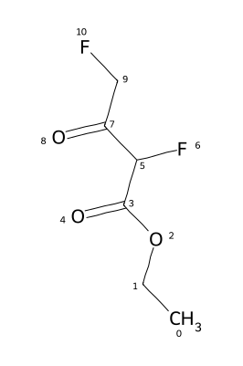 CCOC(=O)C(F)C(=O)CF